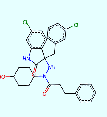 O=C(CCc1ccccc1)N(NC1(Cc2cccc(Cl)c2)C(=O)Nc2cc(Cl)ccc21)C1CCC(O)CC1